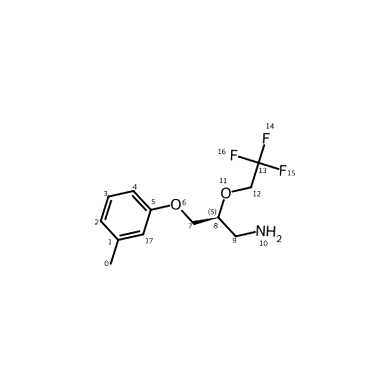 Cc1cccc(OC[C@H](CN)OCC(F)(F)F)c1